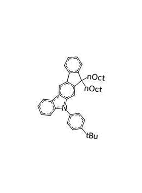 CCCCCCCCC1(CCCCCCCC)c2ccccc2-c2cc3c4ccccc4n(-c4ccc(C(C)(C)C)cc4)c3cc21